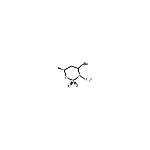 C[C@H]1CC(C(C)(C)C)N(C(=O)O)S(=O)(=O)O1